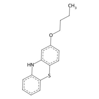 CCCCOc1ccc2c(c1)Nc1ccccc1S2